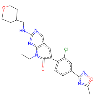 CCn1c(=O)c(-c2ccc(-c3noc(C)n3)cc2Cl)cc2cnc(NCC3CCOCC3)nc21